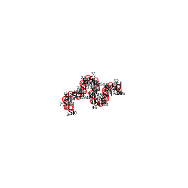 C[SiH](C)OO[Si](C)(C)O[Si](C)(C)O[Si](C)(C)O[Si](C)(C)O[Si](C)(C)O[Si](C)(C)O[Si](C)(C)O[Si](C)(C)O[Si](C)(C)O[Si](C)(C)O[Si](C)(C)O[Si](C)(C)O[Si](C)(C)O[Si](C)(C)O[Si](C)(C)O[SiH](C)C